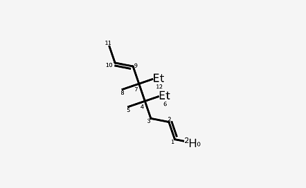 [2H]/C=C/CC(C)(CC)C(C)(C=CC)CC